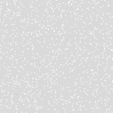 CC(C)(C)OC(=O)NCCc1[nH]c(-c2ccncc2)cc1C(=O)O